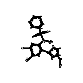 CCCCN(c1cc(F)c(Cl)cc1-c1nnc(CCl)o1)S(=O)(=O)c1ccccc1